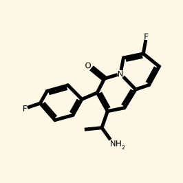 CC(N)c1cc2ccc(F)cn2c(=O)c1-c1ccc(F)cc1